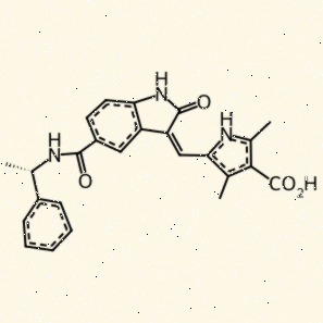 Cc1[nH]c(/C=C2\C(=O)Nc3ccc(C(=O)N[C@@H](C)c4ccccc4)cc32)c(C)c1C(=O)O